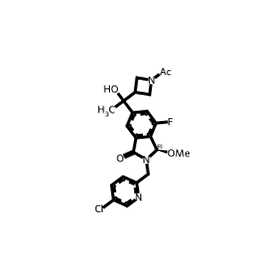 CO[C@@H]1c2c(F)cc(C(C)(O)C3CN(C(C)=O)C3)cc2C(=O)N1Cc1ccc(Cl)cn1